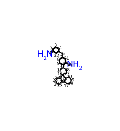 Nc1cccc(Cc2ccc(C3CCC(C4CCCCC4)(C4CCCCC4)CC3)c(N)c2)c1